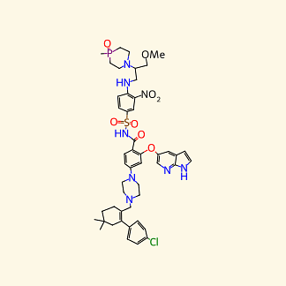 COCC(CNc1ccc(S(=O)(=O)NC(=O)c2ccc(N3CCN(CC4=C(c5ccc(Cl)cc5)CC(C)(C)CC4)CC3)cc2Oc2cnc3[nH]ccc3c2)cc1[N+](=O)[O-])N1CCP(C)(=O)CC1